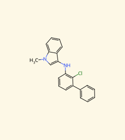 Cn1cc(Nc2cccc(-c3ccccc3)c2Cl)c2ccccc21